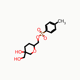 Cc1ccc(S(=O)(=O)OCC2CCC(O)(CO)CO2)cc1